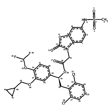 CS(=O)(=O)Nc1ccc2c(c1)oc(=O)n2CC(=O)O[C@@H](Cc1c(Cl)cncc1Cl)c1ccc(OC(F)F)c(OCC2CC2)c1